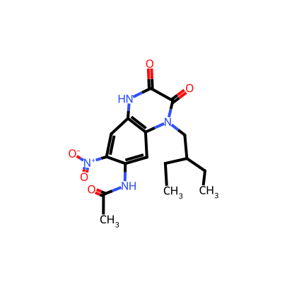 CCC(CC)Cn1c(=O)c(=O)[nH]c2cc([N+](=O)[O-])c(NC(C)=O)cc21